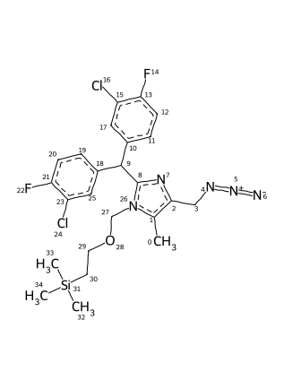 Cc1c(CN=[N+]=[N-])nc(C(c2ccc(F)c(Cl)c2)c2ccc(F)c(Cl)c2)n1COCC[Si](C)(C)C